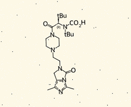 Cc1nc(C)n2c1CN(CCN1CCN(C(=O)[C@H](N(C(=O)O)C(C)(C)C)C(C)(C)C)CC1)C2=O